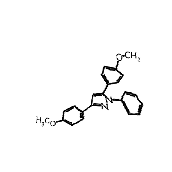 COc1ccc(-c2cc(-c3ccc(OC)cc3)n(-c3ccccc3)n2)cc1